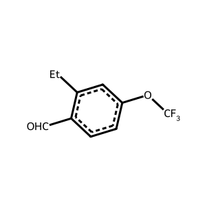 CCc1cc(OC(F)(F)F)ccc1C=O